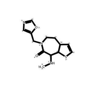 CNC1C(=O)N(Cc2cnco2)CCC2C=CSC21